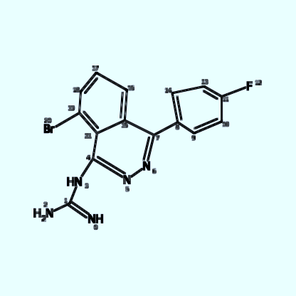 N=C(N)Nc1nnc(-c2ccc(F)cc2)c2cccc(Br)c12